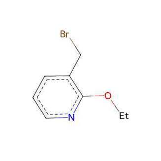 CCOc1ncccc1CBr